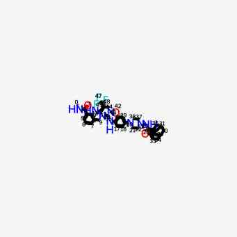 CNC(=O)c1cccc(C)c1Nc1nc(Nc2ccc(N3CCN(NC(=O)C45CC6CC(CC(C6)C4)C5)CC3)cc2OC)ncc1C(F)(F)F